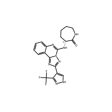 O=C1NCCCC[C@H]1Nc1nc2ccccc2c2nc(-c3c[nH]nc3C(F)(F)F)nn12